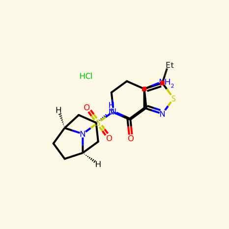 CCc1cc(C(=O)N[C@@H]2C[C@H]3CC[C@@H](C2)N3S(=O)(=O)N2CCC(N)CC2)ns1.Cl